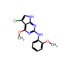 COc1c[c]ccc1Nc1nc(OC)c2c(Cl)c[nH]c2n1